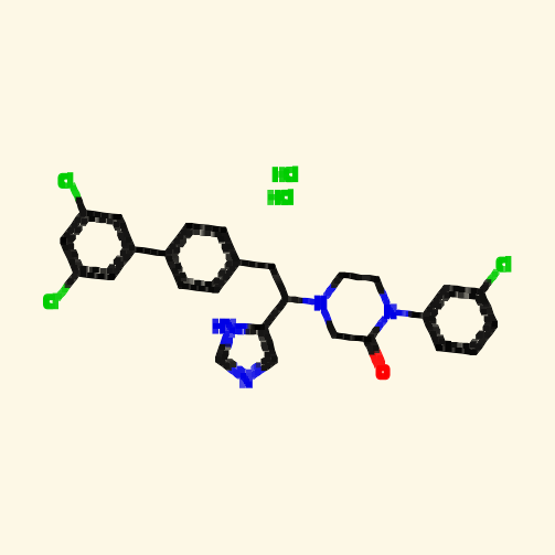 Cl.Cl.O=C1CN(C(Cc2ccc(-c3cc(Cl)cc(Cl)c3)cc2)c2cnc[nH]2)CCN1c1cccc(Cl)c1